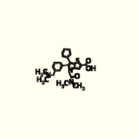 CN(C)Cc1cccc(-c2c(-c3ccccc3)c3sc(C(=O)O)cc3n2CC(=O)N(C)C)c1